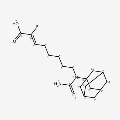 NC(=O)N(CCCCC/C=C(\F)C(=O)O)C12CC3CC(CC(C3)C1)C2